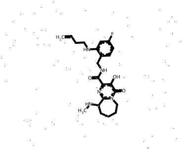 C=CCCNc1cc(F)ccc1CNC(=O)c1nc2n(c(=O)c1O)CCCCC2NC